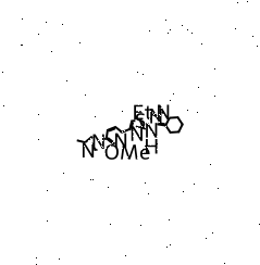 CCn1nc2c(c1Nc1nc(-c3ccc(N4C=NC(C)C4)c(OC)n3)cs1)CCCC2